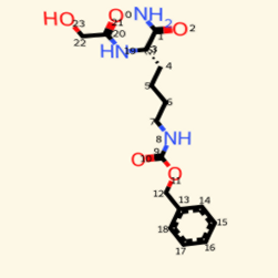 NC(=O)[C@H](CCCCNC(=O)OCc1ccccc1)NC(=O)CO